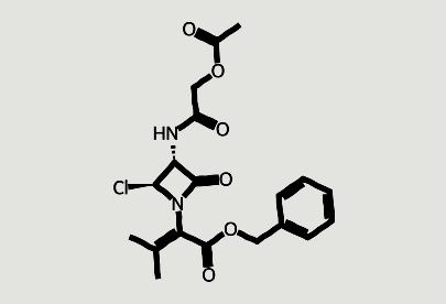 CC(=O)OCC(=O)N[C@@H]1C(=O)N(C(C(=O)OCc2ccccc2)=C(C)C)[C@H]1Cl